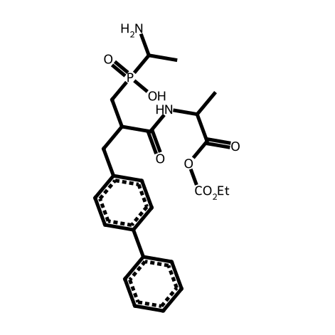 CCOC(=O)OC(=O)C(C)NC(=O)C(Cc1ccc(-c2ccccc2)cc1)CP(=O)(O)C(C)N